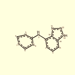 c1cc(Nc2ncncn2)c2nn[nH]c2c1